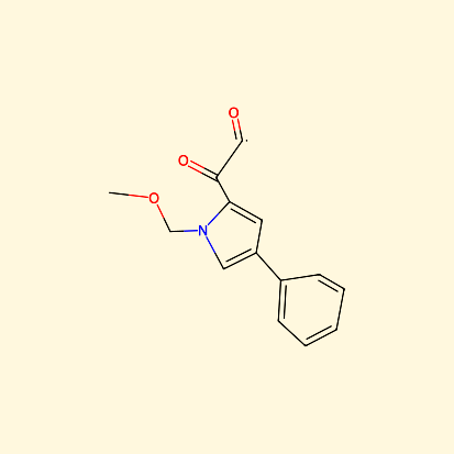 COCn1cc(-c2ccccc2)cc1C(=O)[C]=O